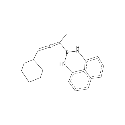 CC(=C=CC1CCCCC1)B1Nc2cccc3cccc(c23)N1